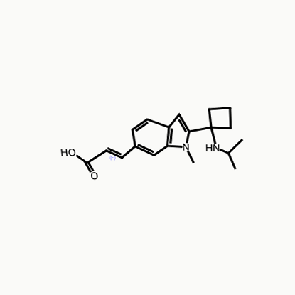 CC(C)NC1(c2cc3ccc(/C=C/C(=O)O)cc3n2C)CCC1